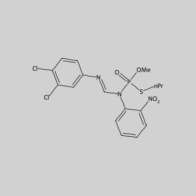 CCCSP(=O)(OC)N(C=Nc1ccc(Cl)c(Cl)c1)c1ccccc1[N+](=O)[O-]